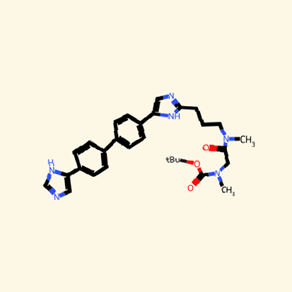 CN(CCCc1ncc(-c2ccc(-c3ccc(-c4cnc[nH]4)cc3)cc2)[nH]1)C(=O)CN(C)C(=O)OC(C)(C)C